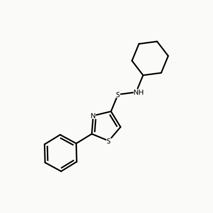 c1ccc(-c2nc(SNC3CCCCC3)cs2)cc1